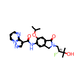 CC(C)Oc1cc2c(cc1NC(=O)c1cnn3cccnc13)CN(C[C@@H](F)C(C)(C)O)C2=O